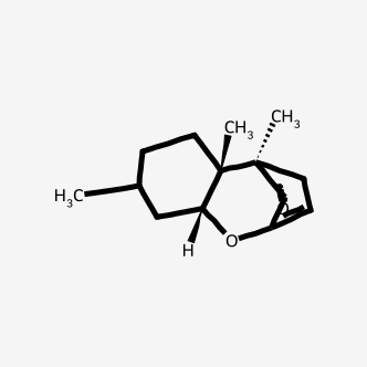 CC1CC[C@@]2(C)[C@@H](C1)OC1=CC[C@@]2(C)[C@]12CO2